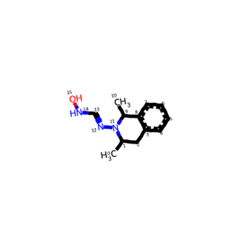 CC1Cc2ccccc2C(C)N1N=CNO